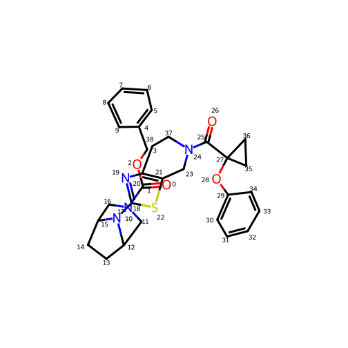 O=C(OCc1ccccc1)N1CC2CCC(C1)N2c1nc2c(s1)CN(C(=O)C1(Oc3ccccc3)CC1)CC2